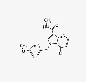 CNC(=O)c1cn(Cc2ccc(OC)nc2)c2c(Cl)ccnc12